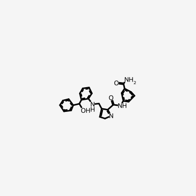 NC(=O)c1cccc(NC(=O)C2=NCC=C2CNc2ccccc2C(O)c2ccccc2)c1